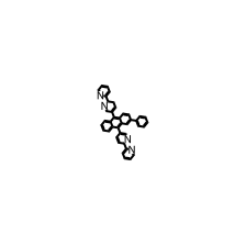 C1=NC(c2ccccn2)CC=C1c1c2ccccc2c(-c2ccc(-c3ccccn3)nc2)c2cc(-c3ccccc3)ccc12